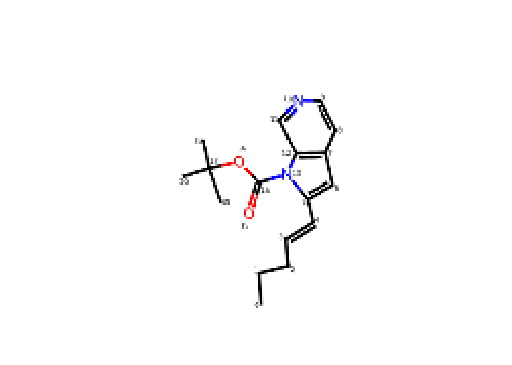 CCC/C=C/c1cc2ccncc2n1C(=O)OC(C)(C)C